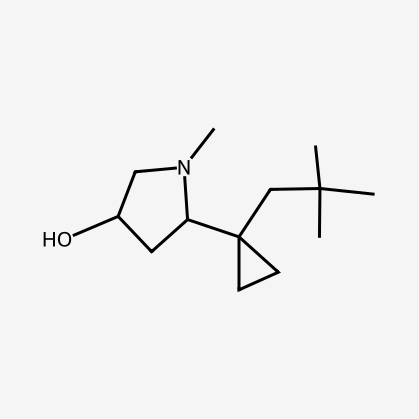 CN1CC(O)CC1C1(CC(C)(C)C)CC1